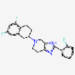 Fc1cc(F)c2c(c1)CC(N1CCc3nc(-c4ccccc4F)[nH]c3C1)CC2